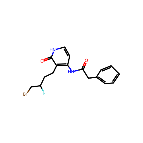 O=C(Cc1ccccc1)Nc1cc[nH]c(=O)c1CCC(F)CBr